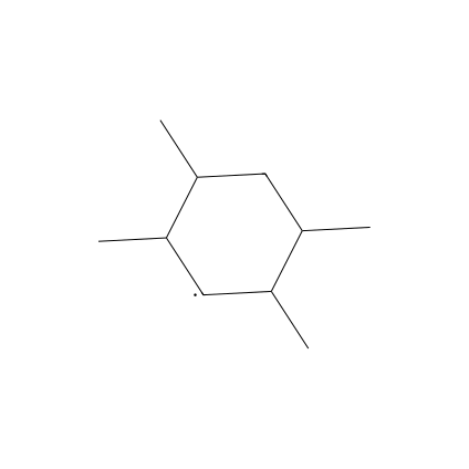 CC1[CH]C(C)C(C)CC1C